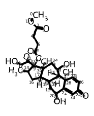 COC(=O)CCC(=O)O[C@]1(C(=O)CO)C(C)C[C@H]2[C@@H]3CC(O)C4=CC(=O)C=C[C@]4(C)[C@@]3(F)C(O)C[C@@]21C